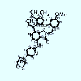 C=Nc1c(/C(=C\C)c2ncc(Nc3ccc(N4CC5CC4CO5)cn3)c3c2CN(Cc2ccc(OC)cc2OC)C3=O)ccn1C